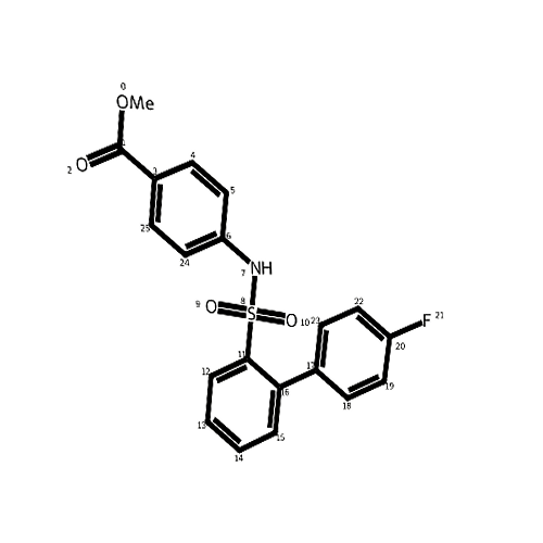 COC(=O)c1ccc(NS(=O)(=O)c2ccccc2-c2ccc(F)cc2)cc1